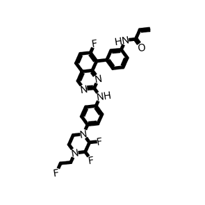 C=CC(=O)Nc1cccc(-c2c(F)ccc3cnc(Nc4ccc(N5CCN(CCF)C(F)C5F)cc4)nc23)c1